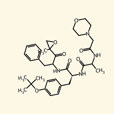 CC(NC(=O)CN1CCOCC1)C(=O)N[C@@H](Cc1ccc(OC(C)(C)C)cc1)C(=O)NC(Cc1ccccc1)C(=O)C1(C)CO1